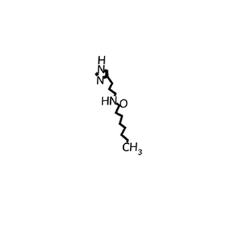 CCCCCCCC(=O)NCCCc1c[nH]cn1